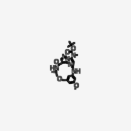 COc1cc2cc(c1)Nc1cc(N(C)C(=O)OC(C)(C)C)n3ncc(c3n1)C(=O)N[C@H](C)COC2